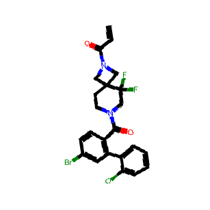 C=CC(=O)N1CC2(CCN(C(=O)c3ccc(Br)cc3-c3ccccc3Cl)CC2(F)F)C1